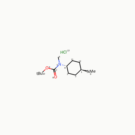 CN[C@H]1CC[C@H](N(C)C(=O)OC(C)(C)C)CC1.Cl